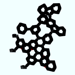 CC(C)(C)c1cc(-c2cc3c4c(c2)N(c2c(-c5ccccc5)cc(C(C)(C)C)cc2-c2ccccc2)c2cc(-c5ccccc5)ccc2B4c2ccc(-n4c5ccccc5c5cc(-n6c7ccccc7c7ccccc76)ccc54)cc2N3c2cc(-c3ccccc3)cc(-c3ccccc3)c2)cc(C(C)(C)C)c1